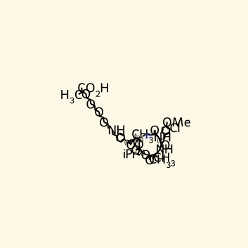 COc1ccc(C[C@H]2NC(=O)/C=C/C[C@@H]([C@H](C)[C@H]3O[C@@H]3c3ccc(CNCCOCCOCCOCCOC(C)C(=O)O)cc3)OC(=O)[C@H](CC(C)C)OC(=O)C(C)(C)CNC2=O)cc1Cl